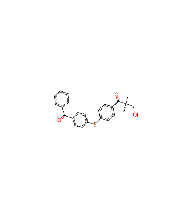 CC(C)(CO)C(=O)c1ccc(Sc2ccc(C(=O)c3ccccc3)cc2)cc1